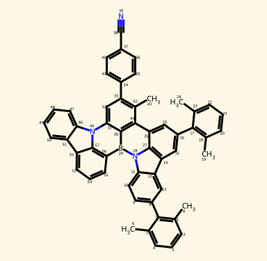 Cc1cccc(C)c1-c1ccc2c(c1)c1cc(-c3c(C)cccc3C)cc3c1n2B1c2c(cc(-c4ccc(C#N)cc4)c(C)c2-3)-n2c3ccccc3c3cccc1c32